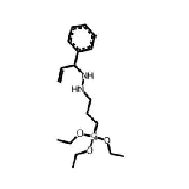 C=CC(NNCCC[Si](OCC)(OCC)OCC)c1ccccc1